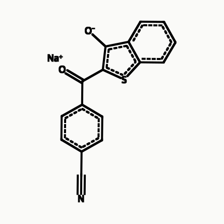 N#Cc1ccc(C(=O)c2sc3ccccc3c2[O-])cc1.[Na+]